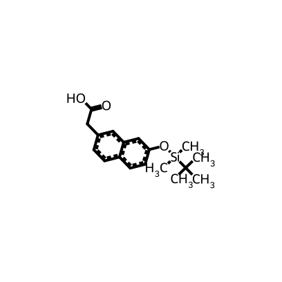 CC(C)(C)[Si](C)(C)Oc1ccc2ccc(CC(=O)O)cc2c1